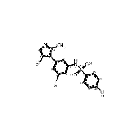 Cn1ncc(Br)c1-c1cc(F)cc(NS(=O)(=O)c2ccc(Cl)cc2)c1